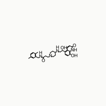 Cc1ccc(C)c(CNC(=O)CCN2CCC(NC[C@H](O)c3ccc(O)c4[nH]c(=O)ccc34)CC2)c1